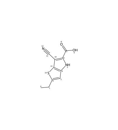 CCc1cc2[nH]c(C(=O)O)c(C#N)c2s1